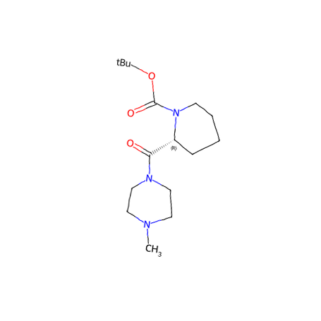 CN1CCN(C(=O)[C@H]2CCCCN2C(=O)OC(C)(C)C)CC1